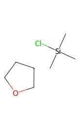 C1CCOC1.C[Si](C)(C)Cl